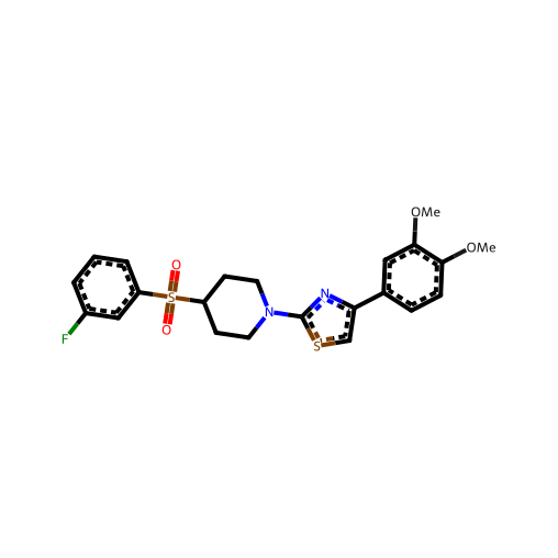 COc1ccc(-c2csc(N3CCC(S(=O)(=O)c4cccc(F)c4)CC3)n2)cc1OC